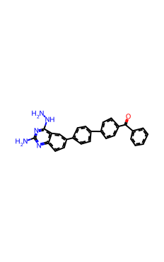 NNc1nc(N)nc2ccc(-c3ccc(-c4ccc(C(=O)c5ccccc5)cc4)cc3)cc12